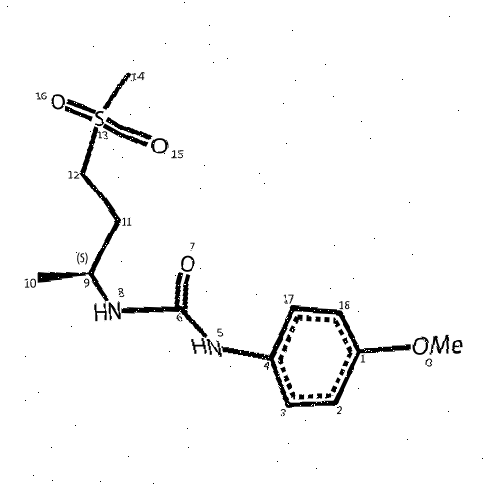 COc1ccc(NC(=O)N[C@@H](C)CCS(C)(=O)=O)cc1